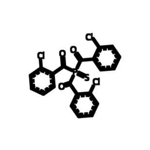 O=C(c1ccccc1Cl)P(=S)(C(=O)c1ccccc1Cl)C(=O)c1ccccc1Cl